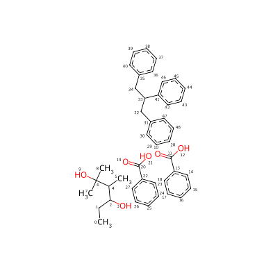 CCC(O)C(C)C(C)(C)O.O=C(O)c1ccccc1.O=C(O)c1ccccc1.c1ccc(CC(Cc2ccccc2)c2ccccc2)cc1